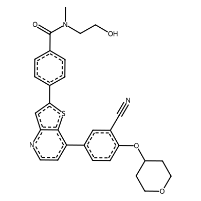 CN(CCO)C(=O)c1ccc(-c2cc3nccc(-c4ccc(OC5CCOCC5)c(C#N)c4)c3s2)cc1